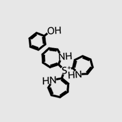 C1=CC=C([S+](C2=CC=CC=CN2)C2=CC=CC=CN2)NC=C1.Oc1ccccc1